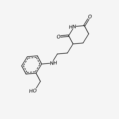 O=C1CCC(CCNc2ccccc2CO)C(=O)N1